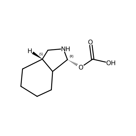 O=C(O)O[C@H]1NC[C@H]2CCCCC21